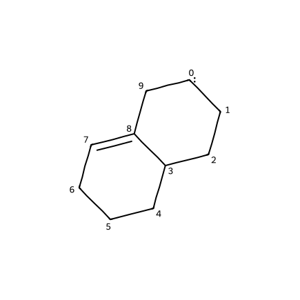 [C]1CCC2CCCC=C2C1